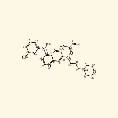 C=CC(=O)Nc1cc2c(N(F)c3cccc(Cl)c3)ncnc2cc1OCCCN1CCOCC1